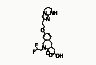 O=C(O)CC1Cc2ccc(OCCc3cn4c(n3)NCCC4)cc2CN(CC(F)F)C1=O